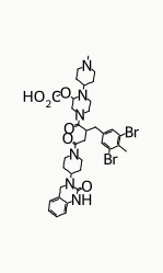 Cc1c(Br)cc(CC(CC(=O)N2CCC(N3Cc4ccccc4NC3=O)CC2)C(=O)N2CCN(C3CCN(C)CC3)C(OC(=O)O)C2)cc1Br